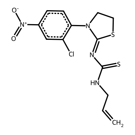 C=CCNC(=S)N=C1SCCN1c1ccc([N+](=O)[O-])cc1Cl